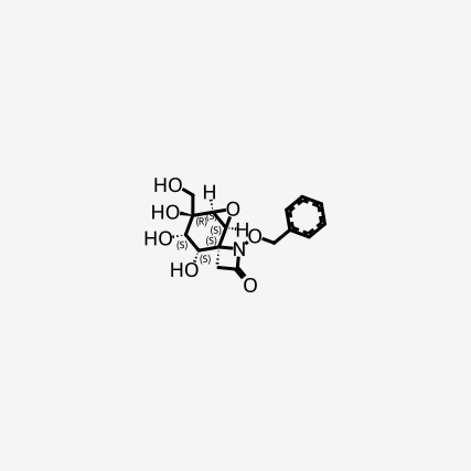 O=C1C[C@@]2([C@H](O)[C@H](O)[C@](O)(CO)[C@H]3O[C@H]32)N1OCc1ccccc1